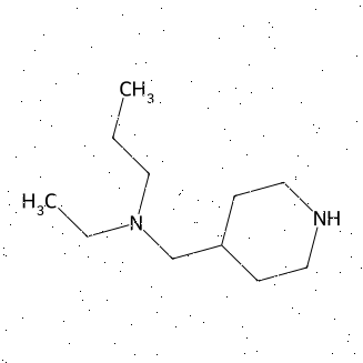 CCCN(CC)CC1CCNCC1